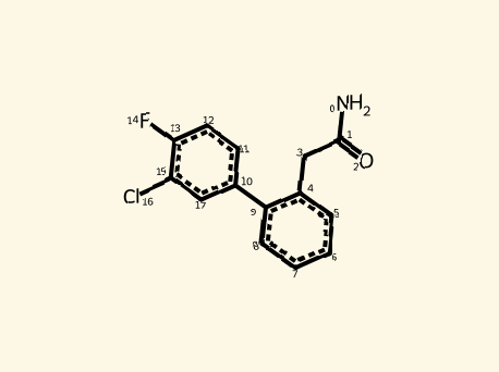 NC(=O)Cc1ccccc1-c1ccc(F)c(Cl)c1